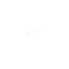 CCCC(=O)Nc1ccc(/C(CCC(=O)O)=N/O)cc1